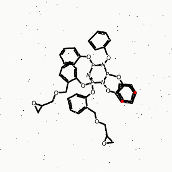 c1ccc(ON2P(Oc3ccccc3)N=P(Oc3ccccc3COCC3CO3)(Oc3ccccc3COCC3CO3)N(Oc3ccccc3)P2Oc2ccccc2)cc1